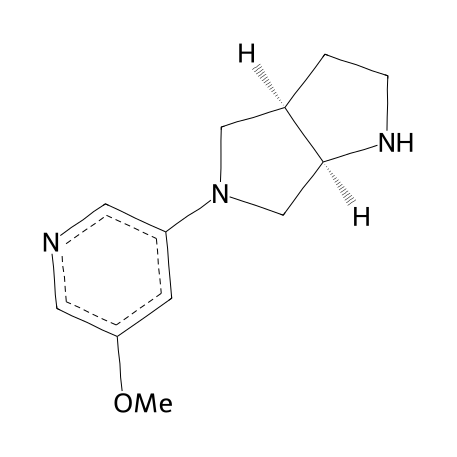 COc1cncc(N2C[C@H]3CCN[C@H]3C2)c1